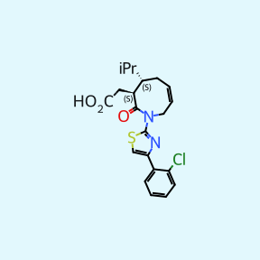 CC(C)[C@@H]1CC=CCN(c2nc(-c3ccccc3Cl)cs2)C(=O)[C@H]1CC(=O)O